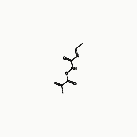 C=C(C)C(=O)ONC(=O)N=CC